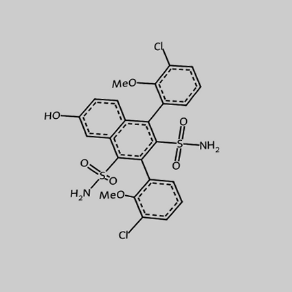 COc1c(Cl)cccc1-c1c(S(N)(=O)=O)c(-c2cccc(Cl)c2OC)c2ccc(O)cc2c1S(N)(=O)=O